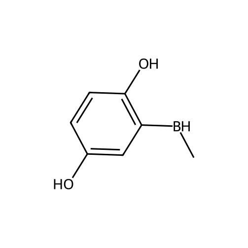 CBc1cc(O)ccc1O